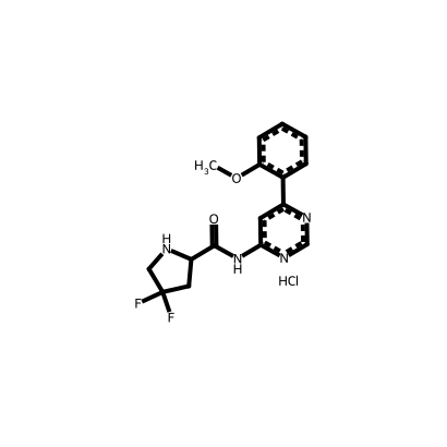 COc1ccccc1-c1cc(NC(=O)C2CC(F)(F)CN2)ncn1.Cl